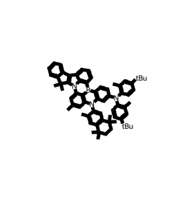 Cc1cc2c3c(c1)-n1c4c(c5cccc(c51)B3c1ccc(N(c3ccc(C(C)(C)C)cc3C)c3ccc(C(C)(C)C)cc3C)cc1N2c1cc2c(cc1C)C(C)(C)CCC2(C)C)-c1ccccc1C4(C)C